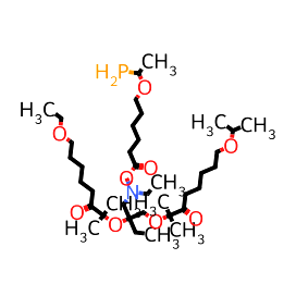 CCOCCCCCC(=O)C(C)(C)OC(CC)(COC(C)(C)C(=O)CCCCCOC(C)C)CN(CC)OC(=O)CCCCCOC(C)P